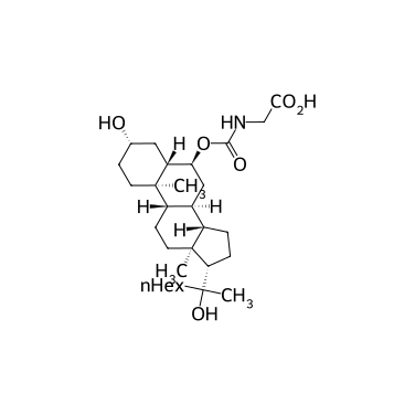 CCCCCCC(C)(O)[C@H]1CC[C@H]2[C@@H]3C[C@H](OC(=O)NCC(=O)O)[C@H]4C[C@@H](O)CC[C@]4(C)[C@H]3CC[C@]12C